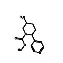 CC(C)(C)OC(=O)N1CC(N)CCC1c1ccncc1